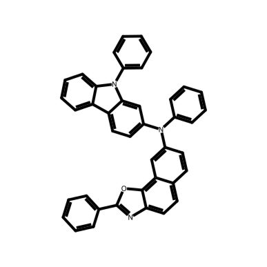 c1ccc(-c2nc3ccc4ccc(N(c5ccccc5)c5ccc6c7ccccc7n(-c7ccccc7)c6c5)cc4c3o2)cc1